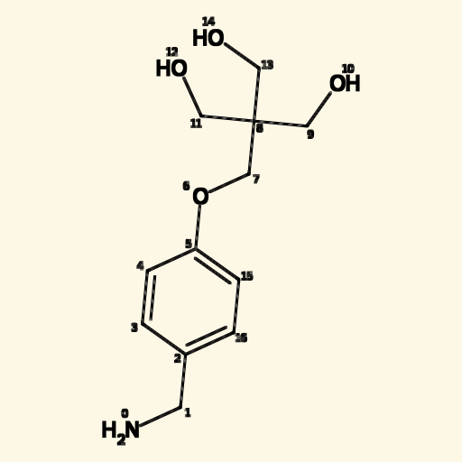 NCc1ccc(OCC(CO)(CO)CO)cc1